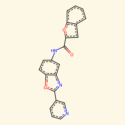 O=C(Nc1ccc2oc(-c3cccnc3)nc2c1)c1cc2ccccc2o1